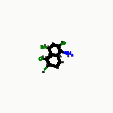 Nc1c(Br)cc(Br)c2c(Cl)c(F)ccc12